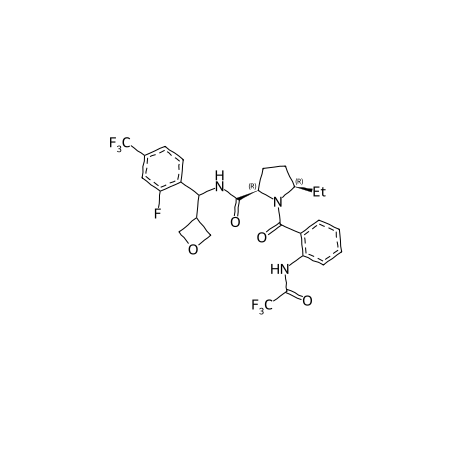 CC[C@@H]1CC[C@H](C(=O)NC(c2ccc(C(F)(F)F)cc2F)C2COC2)N1C(=O)c1ccccc1NC(=O)C(F)(F)F